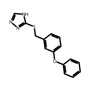 c1ccc(Oc2cccc(CSc3nnc[nH]3)c2)cc1